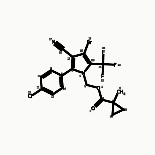 CC1(C(=O)OCn2c(-c3ccc(Cl)cc3)c(C#N)c(Br)c2C(F)(F)F)CC1